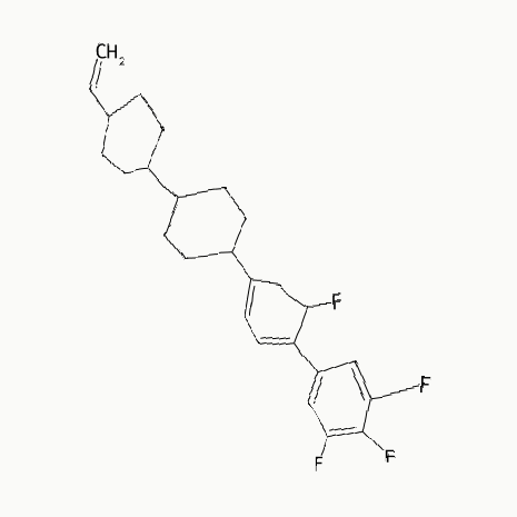 C=CC1CCC(C2CCC(C3=CC=C(c4cc(F)c(F)c(F)c4)C(F)C3)CC2)CC1